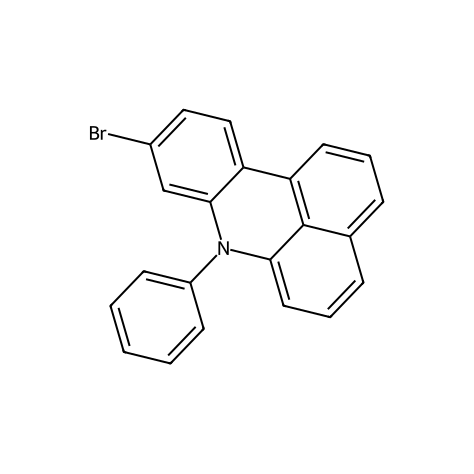 Brc1ccc2c(c1)N(c1ccccc1)c1cccc3cccc-2c13